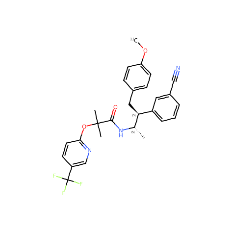 C[C@H](NC(=O)C(C)(C)Oc1ccc(C(F)(F)F)cn1)[C@@H](Cc1ccc(O[11CH3])cc1)c1cccc(C#N)c1